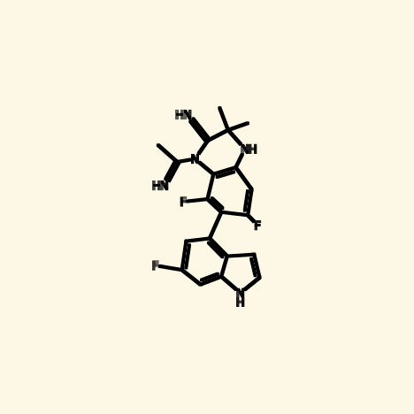 CC(=N)N1C(=N)C(C)(C)Nc2cc(F)c(-c3cc(F)cc4[nH]ccc34)c(F)c21